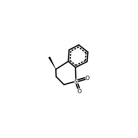 C[C@@H]1CCS(=O)(=O)c2ccccc21